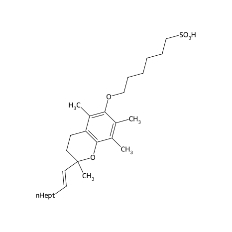 CCCCCCC/C=C/C1(C)CCc2c(C)c(OCCCCCCS(=O)(=O)O)c(C)c(C)c2O1